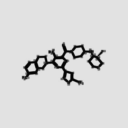 Cc1cc(-c2nc(C(=O)N3CCC(N[C@H]4CCOC[C@H]4F)CC3)c(C)c(N3CCc4ccc(C(F)(F)F)cc4C3)n2)no1